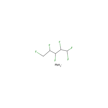 FCC(F)C(F)C(F)C(F)F.[PbH2]